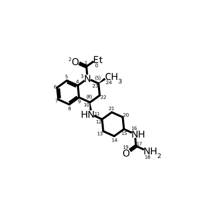 CCC(=O)N1c2ccccc2[C@H](NC2CCC(NC(N)=O)CC2)C[C@@H]1C